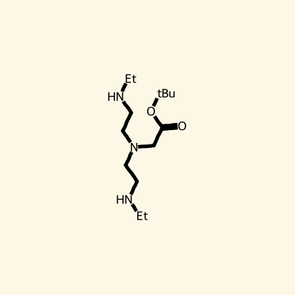 CCNCCN(CCNCC)CC(=O)OC(C)(C)C